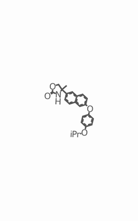 CC(C)Oc1ccc(Oc2ccc3cc(C4(C)COC(=O)N4)ccc3c2)cc1